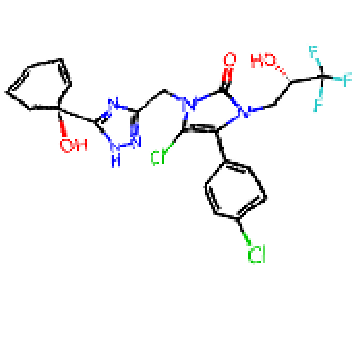 O=c1n(Cc2n[nH]c([C@@]3(O)C=CC=CC3)n2)c(Cl)c(-c2ccc(Cl)cc2)n1C[C@H](O)C(F)(F)F